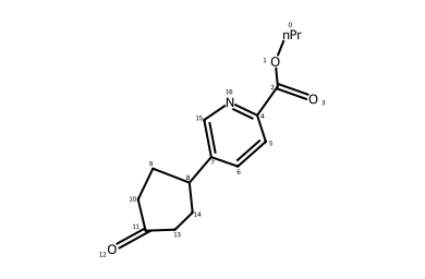 CCCOC(=O)c1ccc(C2CCC(=O)CC2)cn1